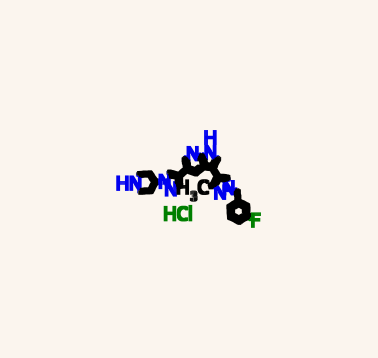 Cc1nn(Cc2cccc(F)c2)cc1-c1c[nH]c2ncc(-c3cnn(C4CCNCC4)c3)cc12.Cl